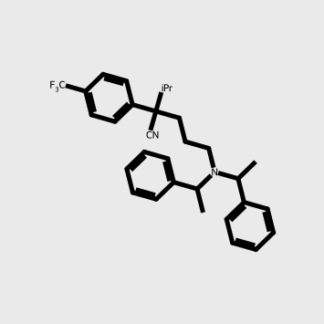 CC(c1ccccc1)N(CCCC(C#N)(c1ccc(C(F)(F)F)cc1)C(C)C)C(C)c1ccccc1